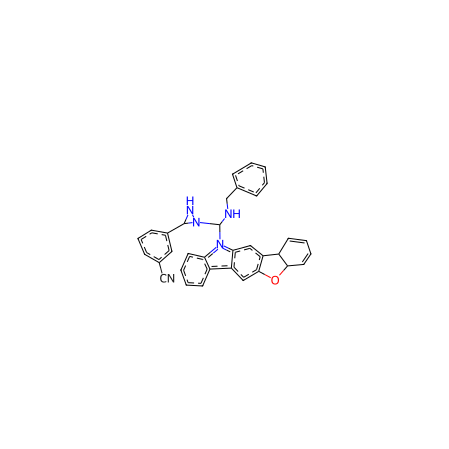 N#Cc1cccc(C2NN2C(NCc2ccccc2)n2c3ccccc3c3cc4c(cc32)C2C=CC=CC2O4)c1